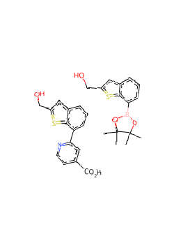 CC1(C)OB(c2cccc3cc(CO)sc23)OC1(C)C.O=C(O)c1ccnc(-c2cccc3cc(CO)sc23)c1